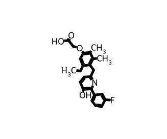 CCc1cc(OCC(=O)O)c(C)c(C)c1Cc1ccc(O)c(-c2cccc(F)c2)n1